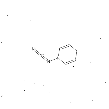 [N-]=[N+]=NN1C=CCC=C1